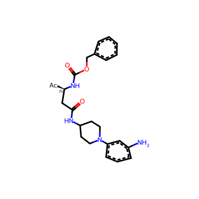 CC(=O)[C@H](CC(=O)NC1CCN(c2cccc(N)c2)CC1)NC(=O)OCc1ccccc1